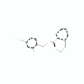 N#Cc1ccc(COC2=NCCc3ccccc32)c(F)c1